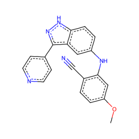 COc1ccc(C#N)c(Nc2ccc3[nH]nc(-c4ccncc4)c3c2)c1